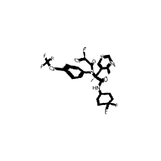 Cc1ncncc1[C@@](C)(C(=O)NC1CCC(F)(F)CC1)N(C(=O)[C@H](F)Cl)c1ccc(OC(F)(F)F)cc1